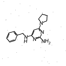 Nc1nc(NCc2ccccc2)cc(N2C[CH]CC2)n1